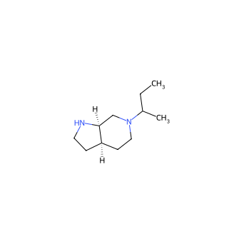 CCC(C)N1CC[C@H]2CCN[C@H]2C1